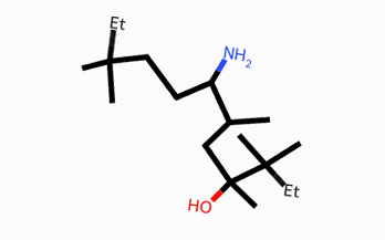 CCC(C)(C)CCC(N)C(C)CC(C)(O)C(C)(C)CC